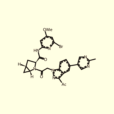 COc1cc(Br)nc(NC(=O)[C@@H]2C[C@H]3C[C@H]3N2C(=O)Cn2nc(C(C)=O)c3cc(-c4cnc(C)nc4)ccc32)c1